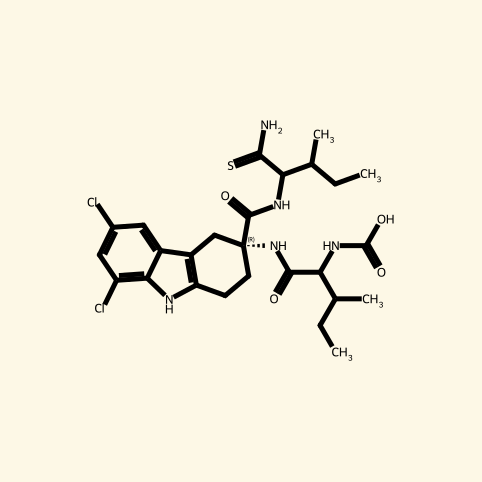 CCC(C)C(NC(=O)O)C(=O)N[C@]1(C(=O)NC(C(N)=S)C(C)CC)CCc2[nH]c3c(Cl)cc(Cl)cc3c2C1